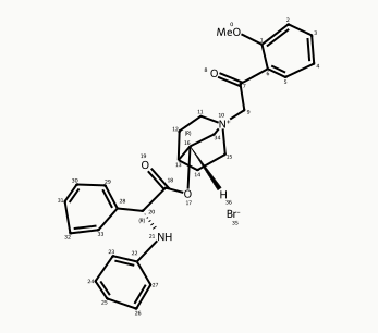 COc1ccccc1C(=O)C[N+]12CCC(CC1)[C@@H](OC(=O)[C@H](Nc1ccccc1)c1ccccc1)C2.[Br-]